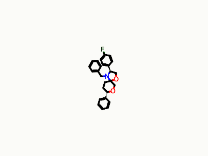 Fc1ccc([C@H]2COC3(CC[C@@H](c4ccccc4)OC3)N2Cc2ccccc2)cc1